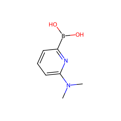 CN(C)c1cccc(B(O)O)n1